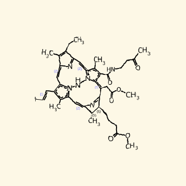 CCC1=C(C)/C2=C/c3c(/C=C/I)c(C)c4n3Nn3/c(c(C)c(C(=O)NCCC(C)=O)/c3=C(\CC(=O)OC)C3=N/C(=C\4)[C@@H](C)[C@@H]3CCCC(=O)OC)=C\C1=N2